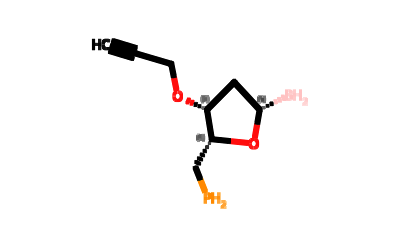 B[C@H]1C[C@@H](OCC#C)[C@@H](CP)O1